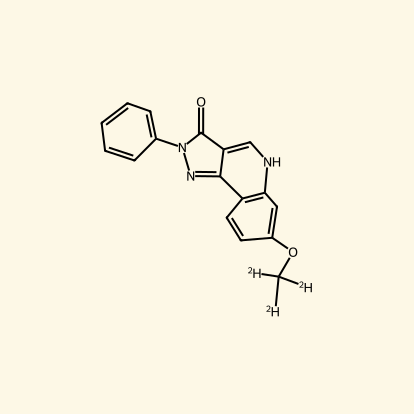 [2H]C([2H])([2H])Oc1ccc2c3nn(-c4ccccc4)c(=O)c-3c[nH]c2c1